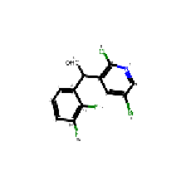 O=CC(c1cc(Br)cnc1Cl)c1cccc(F)c1F